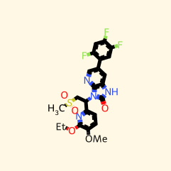 CCOc1nc(C(CS(C)(=O)=O)n2c(=O)[nH]c3cc(-c4cc(F)c(F)cc4F)cnc32)ccc1OC